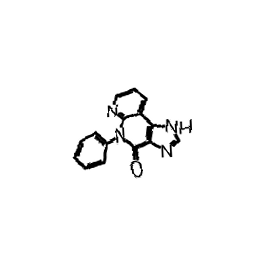 O=c1c2nc[nH]c2c2cccnc2n1-c1ccccc1